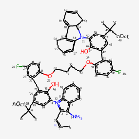 C/C=C\c1c(N)c2ccccc2n1-c1cc(C(C)(C)CCCCCCCC)cc(-c2cc(F)ccc2OCCCCOc2ccc(F)cc2-c2cc(C(C)(C)CCCCCCCC)cc(N3C4=C(CCC=C4)C4=CC=CCC43)c2O)c1O